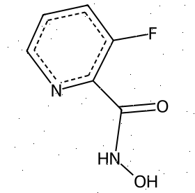 O=C(NO)c1ncccc1F